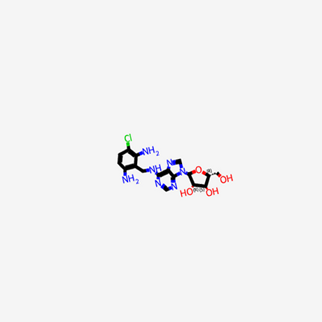 Nc1ccc(Cl)c(N)c1CNc1ncnc2c1ncn2C1O[C@H](CO)[C@@H](O)[C@H]1O